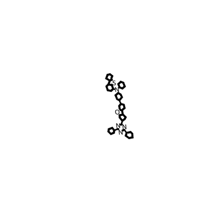 c1ccc(-c2nc(-c3ccccc3)nc(-c3ccc4c(c3)oc3cc(-c5ccc(N(c6ccccc6)c6cccc7c6sc6ccccc67)cc5)ccc34)n2)cc1